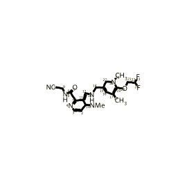 CNC1C=CN=C(C(=O)NCC#N)/C1=C/NCC1=CC(C)=C(OCC(F)F)N(C)C1